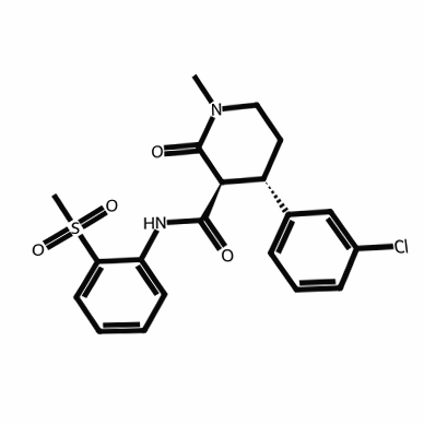 CN1CC[C@H](c2cccc(Cl)c2)[C@@H](C(=O)Nc2ccccc2S(C)(=O)=O)C1=O